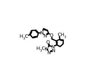 CC1=CCCC(n2nnn(C)c2=O)=C1COc1ccn(-c2ccc(C)cc2)n1